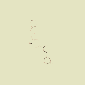 O=C(C=Cc1cccc(C(F)(F)F)c1)N1CCC(=O)N(CCCN2CCCCC2)CC1